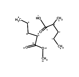 CCCC(C)C(=O)O.CCCCC(=O)OC